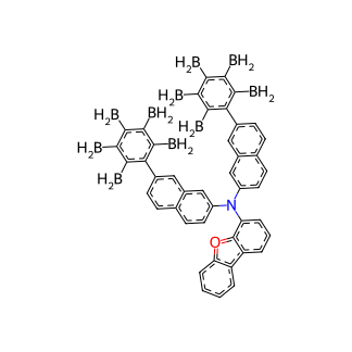 Bc1c(B)c(B)c(-c2ccc3ccc(N(c4ccc5ccc(-c6c(B)c(B)c(B)c(B)c6B)cc5c4)c4cccc5c4oc4ccccc45)cc3c2)c(B)c1B